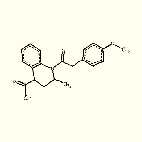 COc1ccc(CC(=O)N2c3ccccc3C(C(=O)O)CC2C)cc1